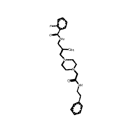 O=C(CN1CCN(CC(O)CNC(=O)c2ccccc2F)CC1)NCCc1ccccc1